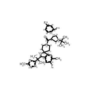 Cc1nnc(C(C)(C)C2OC3(CCN(C(=O)C4CN(C(C)(C)C)C[C@H]4c4ccc(F)cc4F)CC3)c3nc(C)c(F)cc32)o1